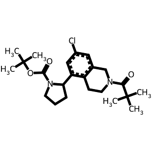 CC(C)(C)OC(=O)N1CCCC1c1cc(Cl)cc2c1CCN(C(=O)C(C)(C)C)C2